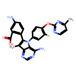 Cc1ccnc(Oc2ccc(-n3c(-c4ccc(N)cc4C(=O)O)c(C)c4ncnc(N)c43)cc2F)n1